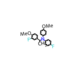 C=C(c1ccc(OC)c(F)c1)N(c1ccc(F)cc1)c1ccc(OC)cc1